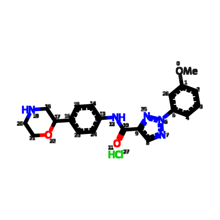 COc1cccc(-n2ncc(C(=O)Nc3ccc(C4CNCCO4)cc3)n2)c1.Cl